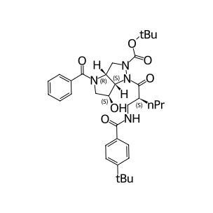 CCC[C@@H](CNC(=O)c1ccc(C(C)(C)C)cc1)C(=O)N1[C@H]2[C@@H](CN1C(=O)OC(C)(C)C)N(C(=O)c1ccccc1)C[C@@H]2O